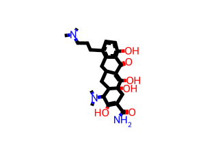 CN(C)CCCc1ccc(O)c2c1CC1CC3C(N(C)C)C(O)=C(C(N)=O)CC3(O)C(O)=C1C2=O